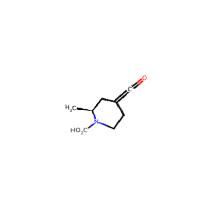 C[C@H]1CC(=C=O)CCN1C(=O)O